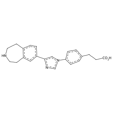 O=C(O)CCc1ccc(-n2cnc(-c3ccc4c(c3)CCNCC4)c2)cc1